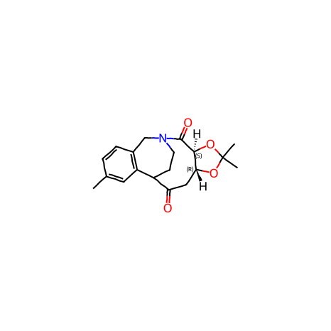 Cc1ccc2c(c1)C1CCN(C2)C(=O)[C@H]2OC(C)(C)O[C@@H]2CC1=O